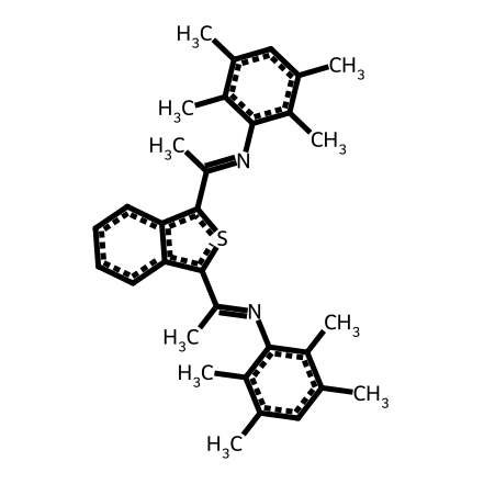 C/C(=N\c1c(C)c(C)cc(C)c1C)c1sc(/C(C)=N/c2c(C)c(C)cc(C)c2C)c2ccccc12